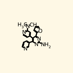 CN(C)c1cc(-c2c(-c3cccnc3)nc(N)nc2-c2ccco2)ccn1